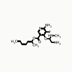 C=C/C=C\C=C(/C)OC(=O)c1cnc(N)c(F)c1OC(CN)NC